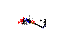 CCCCC/C=C\C/C=C\CCCCCCCCOC(=S)Oc1ccc2nc3c(c(CC)c2c1)Cn1c-3cc2c(c1=O)COC(=O)[C@]2(O)CC